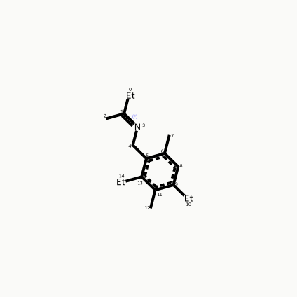 CC/C(C)=N/Cc1c(C)cc(CC)c(C)c1CC